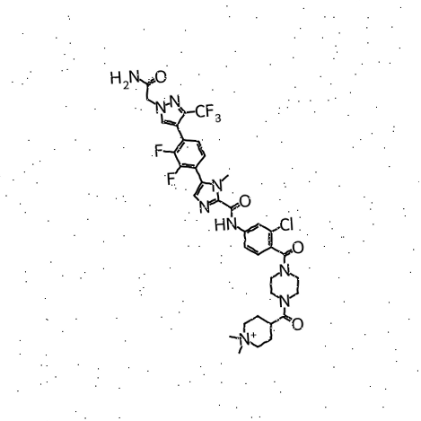 Cn1c(-c2ccc(-c3cn(CC(N)=O)nc3C(F)(F)F)c(F)c2F)cnc1C(=O)Nc1ccc(C(=O)N2CCN(C(=O)C3CC[N+](C)(C)CC3)CC2)c(Cl)c1